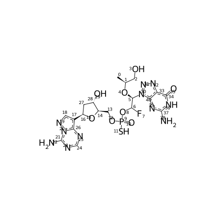 C[C@@H](CO)O[C@H](C(F)OP(=O)(S)OC[C@H]1O[C@@H](c2cnn3c(N)ncnc23)C[C@@H]1O)n1nnc2c(=O)[nH]c(N)nc21